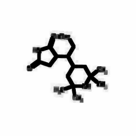 CCCCCCCCCCCC(C1CC(C)(C)NC(C)(C)C1)C1CC(=O)NC1=O